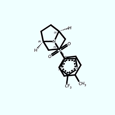 CC1CCN([C@@H]2C[C@H]3CC[C@@H](C2)N3S(=O)(=O)c2csc(C(F)(F)F)n2)CC1